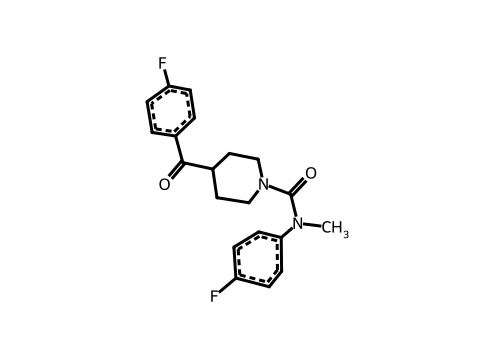 CN(C(=O)N1CCC(C(=O)c2ccc(F)cc2)CC1)c1ccc(F)cc1